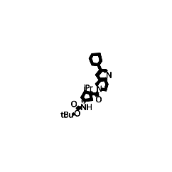 CC(C)[C@]1(C(=O)N2CCc3ncc(C4CCCCC4)cc3C2)CC[C@@H](NC(=O)OC(C)(C)C)C1